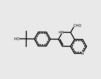 CC(C)(O)c1ccc(C2=Cc3cnccc3C(C=O)N2)cc1